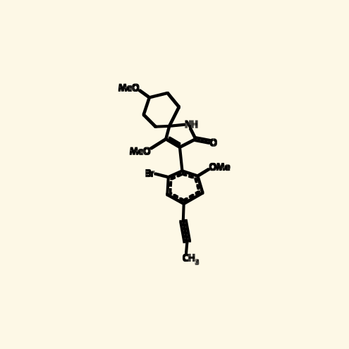 CC#Cc1cc(Br)c(C2=C(OC)C3(CCC(OC)CC3)NC2=O)c(OC)c1